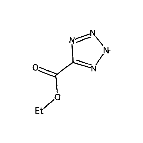 CCOC(=O)C1=N[N]N=N1